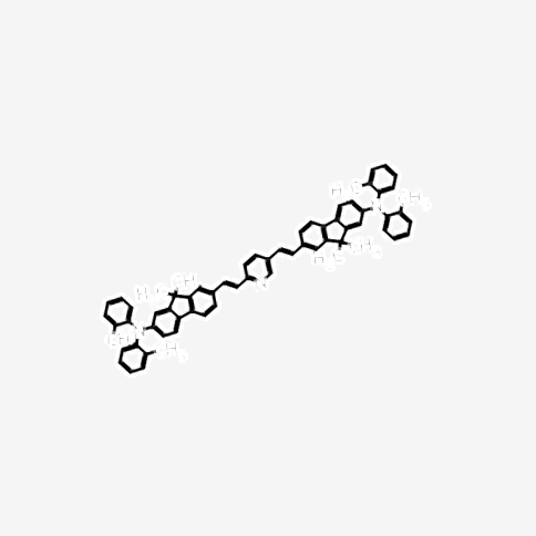 Cc1ccccc1N(c1ccc2c(c1)C(C)(C)c1cc(/C=C/c3ccc(/C=C/c4ccc5c(c4)C(C)(C)c4cc(N(c6ccccc6C)c6ccccc6C)ccc4-5)nc3)ccc1-2)c1ccccc1C